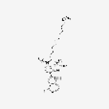 CCCCCCCCCCCCN(C)C(=O)[C@@H](NC(=O)c1cc2c(F)cccc2[nH]1)[C@@H](C)O